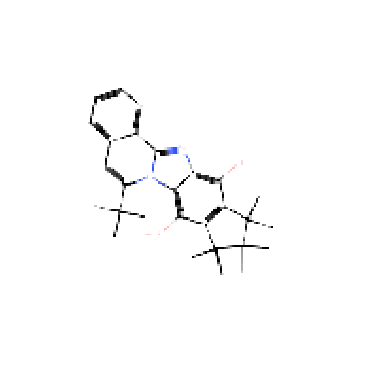 Bc1c2c(c(B)c3c1nc1c4ccccc4cc(C(C)(C)C)n13)C(C)(C)C(C)(C)C2(C)C